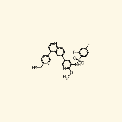 COc1ncc(-c2ccc3nccc(-c4ccc(CS)nc4)c3c2)cc1NS(=O)(=O)c1ccc(F)cc1F